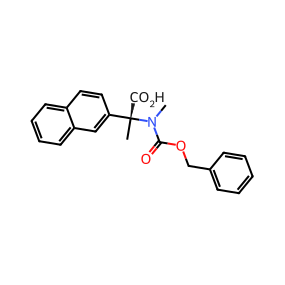 CN(C(=O)OCc1ccccc1)[C@@](C)(C(=O)O)c1ccc2ccccc2c1